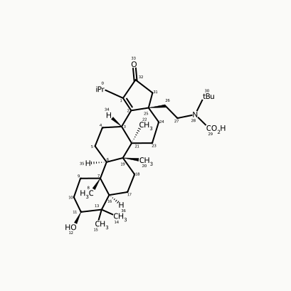 CC(C)C1=C2[C@H]3CC[C@@H]4[C@@]5(C)CC[C@H](O)C(C)(C)[C@@H]5CC[C@@]4(C)[C@]3(C)CC[C@@]2(CCN(C(=O)O)C(C)(C)C)CC1=O